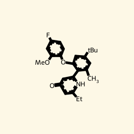 CCc1cc(=O)cc(-c2c(C)cc(C(C)(C)C)cc2Oc2ccc(F)cc2OC)[nH]1